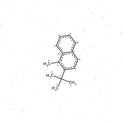 C[n+]1c(C(C)(C)C)ccc2ccccc21